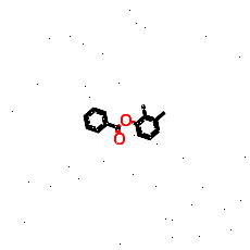 Cc1cccc(OC(=O)c2ccccc2)c1C